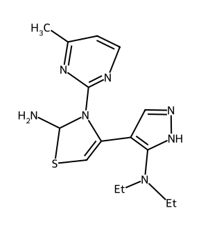 CCN(CC)c1[nH]ncc1C1=CSC(N)N1c1nccc(C)n1